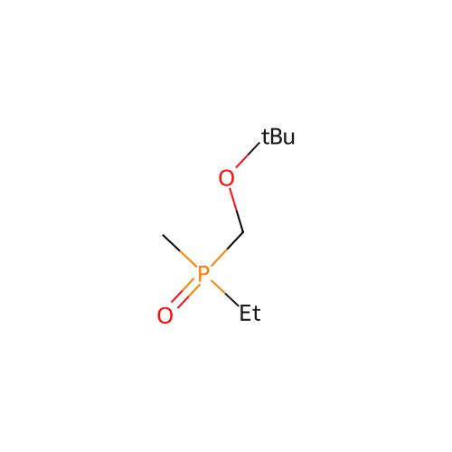 CCP(C)(=O)COC(C)(C)C